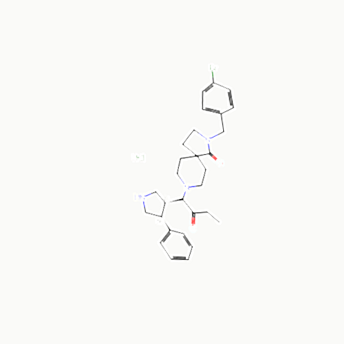 CCC(=O)C([C@@H]1CNC[C@@H]1c1ccccc1)N1CCC2(CCN(Cc3ccc(Br)cc3)C2=O)CC1.Cl